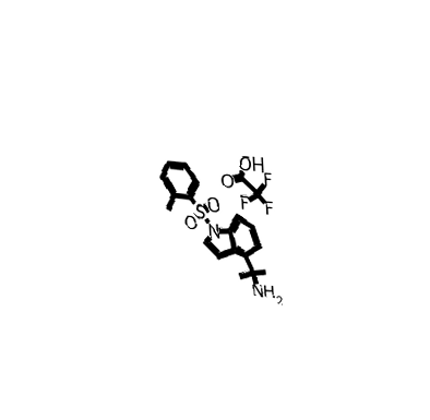 Cc1ccccc1S(=O)(=O)n1ccc2c(C(C)(C)N)cccc21.O=C(O)C(F)(F)F